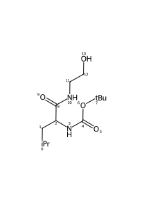 CC(C)CC(NC(=O)OC(C)(C)C)C(=O)NCCO